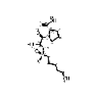 CCCCCCP(=O)(O)O[C@@H](C)C(=O)N1CCC[C@H]1C(=O)O